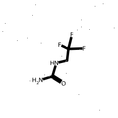 NC(=O)NCC(F)(F)F